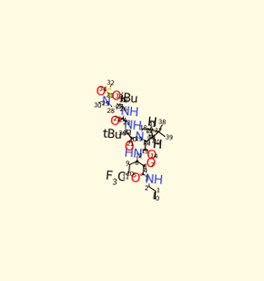 C=CCNC(=O)C(=O)C(CCC(F)(F)F)NC(=O)[C@@H]1[C@@H]2[C@H](CN1C(=O)[C@@H](NC(=O)N[C@H](CN(C)S(C)(=O)=O)[C@@H](C)CC)C(C)(C)C)C2(C)C